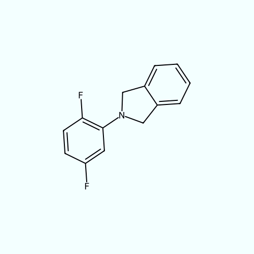 Fc1ccc(F)c(N2Cc3ccccc3C2)c1